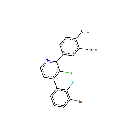 COc1cc(-c2nccc(-c3cccc(Br)c3F)c2Cl)ccc1C=O